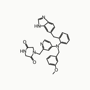 COc1cccc(CN(c2ccnc(CN3CC(=O)NCC3=O)c2)c2ccccc2Cc2ccc3nc[nH]c3c2)c1